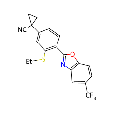 CCSc1cc(C2(C#N)CC2)ccc1-c1nc2cc(C(F)(F)F)ccc2o1